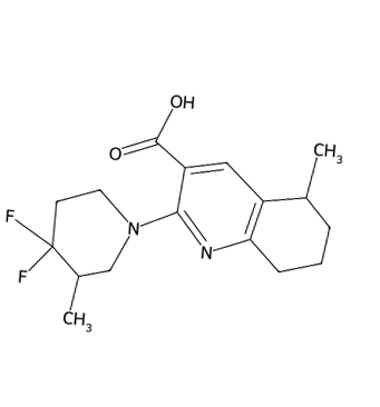 CC1CCCc2nc(N3CCC(F)(F)C(C)C3)c(C(=O)O)cc21